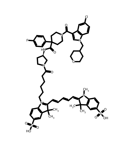 CN1/C(=C/C=C/C=C/C2=[N+](CCCCCC(=O)N3CC[C@@H](NC(=O)C4(c5ccc(F)cc5)CCN(C(=O)c5cn(CC6CCOCC6)c6ccc(Cl)cc56)CC4)C3)c3ccc(S(=O)(=O)O)cc3C2(C)C)C(C)(C)c2cc(S(=O)(=O)O)ccc21